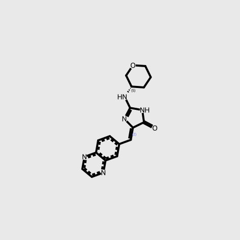 O=C1NC(N[C@H]2CCCOC2)=N/C1=C\c1ccc2nccnc2c1